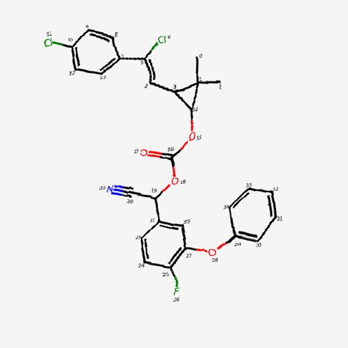 CC1(C)C(C=C(Cl)c2ccc(Cl)cc2)C1OC(=O)OC(C#N)c1ccc(F)c(Oc2ccccc2)c1